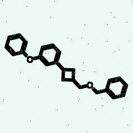 c1ccc(COCC2CC(c3cccc(Oc4ccccc4)c3)C2)cc1